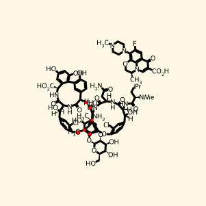 CN[C@H](CC(C)C)C(=O)N[C@H]1C(=O)N[C@@H](CC(N)=O)C(=O)N[C@H]2C(=O)N[C@H]3C(=O)N[C@H](C(=O)N[C@@H](C(=O)O)c4cc(O)cc(O)c4-c4cc3ccc4O)[C@H](O)c3ccc(c(Cl)c3)Oc3cc2cc(c3O[C@@H]2O[C@H](CO)[C@@H](O)[C@H](O)[C@H]2O[C@H]2C[C@](C)(N)C(O)[C@H](C)O2)Oc2ccc(cc2Cl)[C@H]1O.C[C@H]1COc2c(N3CCN(C)CC3)c(F)cc3c(=O)c(C(=O)O)cn1c23